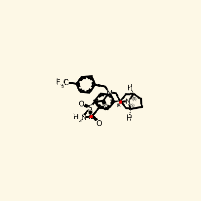 CS(=O)(=O)CC(=O)N(CCN1[C@@H]2CC[C@H]1C[C@@H](c1cccc(C(N)=O)c1)C2)Cc1ccc(C(F)(F)F)cc1